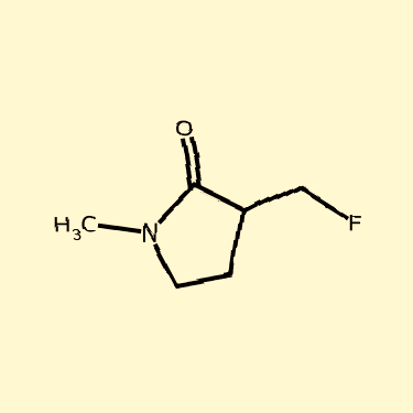 CN1CCC(CF)C1=O